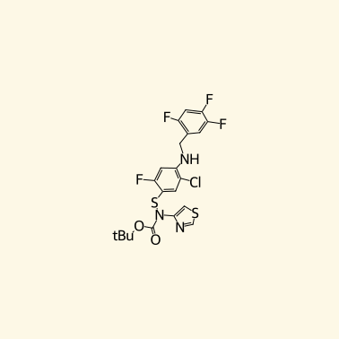 CC(C)(C)OC(=O)N(Sc1cc(Cl)c(NCc2cc(F)c(F)cc2F)cc1F)c1cscn1